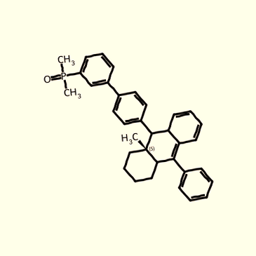 C[C@]12CCCCC1C(c1ccccc1)=C1C=CC=CC1C2c1ccc(-c2cccc(P(C)(C)=O)c2)cc1